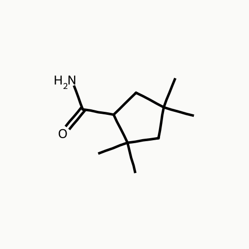 CC1(C)CC(C(N)=O)C(C)(C)C1